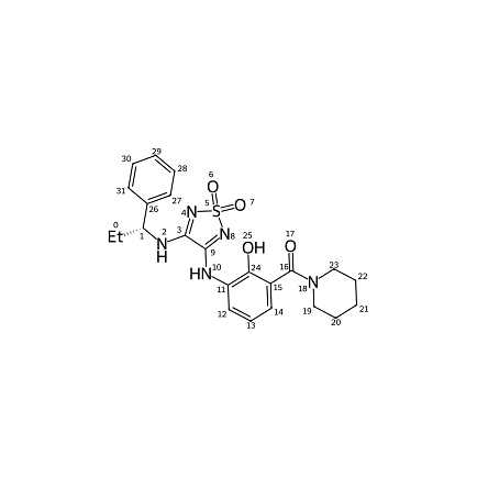 CC[C@@H](NC1=NS(=O)(=O)N=C1Nc1cccc(C(=O)N2CCCCC2)c1O)c1ccccc1